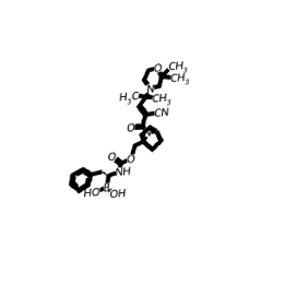 CC1(C)CN(C(C)(C)/C=C(\C#N)C(=O)N2C3CCC2(COC(=O)N[C@@H](Cc2ccccc2)B(O)O)CC3)CCO1